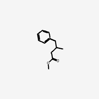 COC(=O)CC(C)Cc1ccccc1